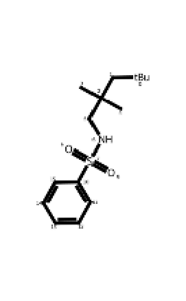 CC(C)(C)CC(C)(C)CNS(=O)(=O)c1ccccc1